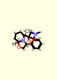 CN1CC(O)([C@]2(C#N)CCC[C@@H]3OC[C@H](c4ccccc4)N32)C1